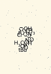 Cc1c(-c2c(O)cccc2F)c(Cl)cc2c3c(cnc12)OC[C@H]1CN(C(=O)OC(C)(C)C)[C@H](C)CN31